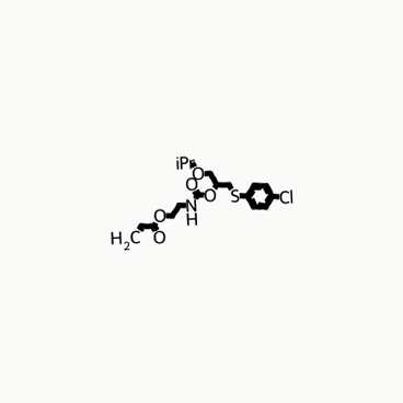 C=CC(=O)OCCNC(=O)OC(COC(C)C)CSc1ccc(Cl)cc1